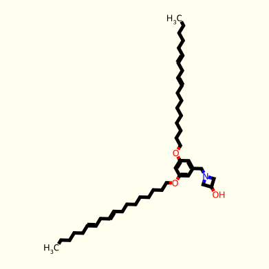 CCCCCC=CCC=CCCCCCCCCOc1cc(CN2CC(O)C2)cc(OCCCCCCCCC=CCC=CCCCCC)c1